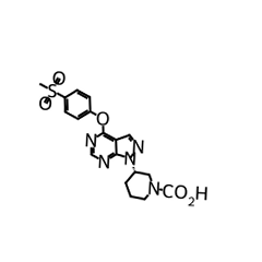 CS(=O)(=O)c1ccc(Oc2ncnc3c2cnn3[C@H]2CCCN(C(=O)O)C2)cc1